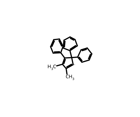 CC1=[C]C(c2ccccc2)(c2ccccc2)C(c2ccccc2)=C1C